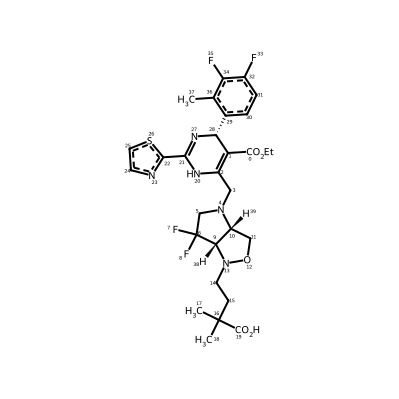 CCOC(=O)C1=C(CN2CC(F)(F)[C@@H]3[C@H]2CON3CCC(C)(C)C(=O)O)NC(c2nccs2)=N[C@@H]1c1ccc(F)c(F)c1C